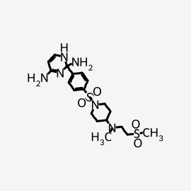 CN(CCS(C)(=O)=O)C1CCN(S(=O)(=O)c2ccc(C3(N)N=C(N)C=CN3)cc2)CC1